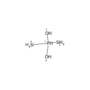 O[PH](O)([SiH3])[SiH3]